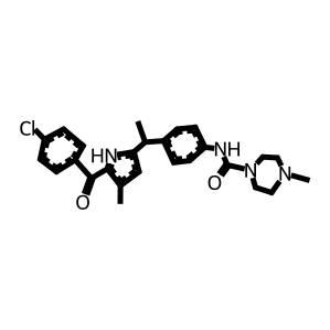 Cc1cc(C(C)c2ccc(NC(=O)N3CCN(C)CC3)cc2)[nH]c1C(=O)c1ccc(Cl)cc1